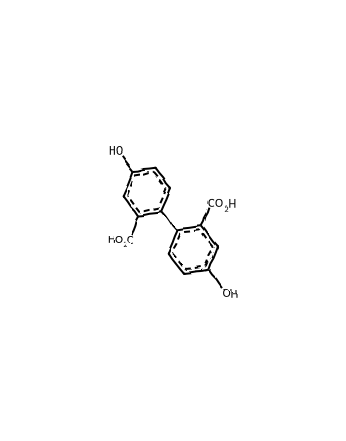 O=C(O)c1cc(O)ccc1-c1ccc(O)cc1C(=O)O